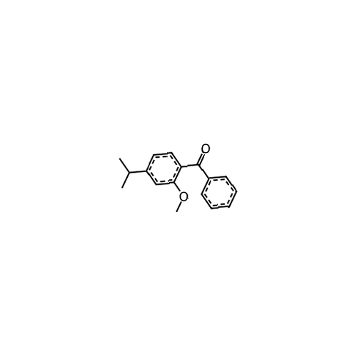 COc1cc(C(C)C)ccc1C(=O)c1ccccc1